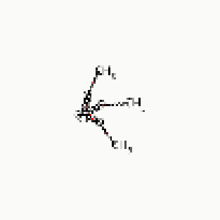 CCCCCCCCCCCCOc1ccc(COc2cc(C(=O)Cl)cc(OCc3ccc(OCCCCCCCCCCCC)cc3)c2OCc2ccc(OCCCCCCCCCCCC)cc2)cc1